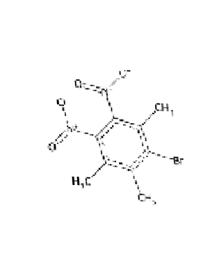 Cc1c(C)c([N+](=O)[O-])c([N+](=O)[O-])c(C)c1Br